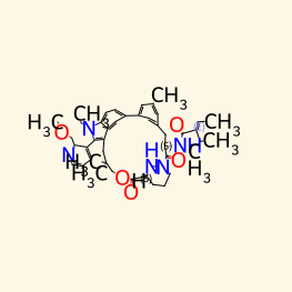 C/C=C(/C(=O)N[C@H]1Cc2cc(C)cc(c2)-c2ccc3c(c2)c(c(-c2cccnc2COC)n3CC)CC(C)(C)COC(=O)[C@@H]2CCCN(N2)C1=O)C(C)C